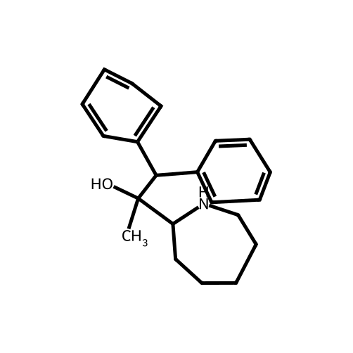 CC(O)(C1CCCCCN1)C(c1ccccc1)c1ccccc1